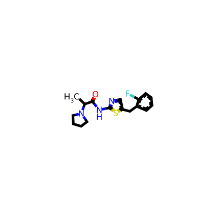 CC(C(=O)Nc1ncc(Cc2ccccc2F)s1)N1CCCC1